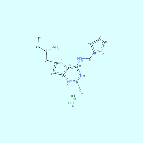 CC[C@H](N)Cc1cc2nc(Cl)nc(NCc3ccco3)c2s1.Cl.Cl